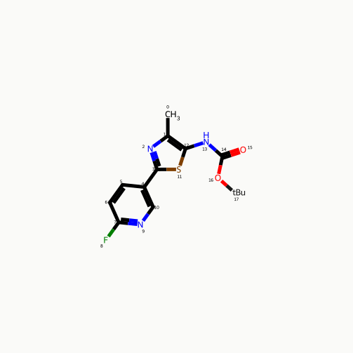 Cc1nc(-c2ccc(F)nc2)sc1NC(=O)OC(C)(C)C